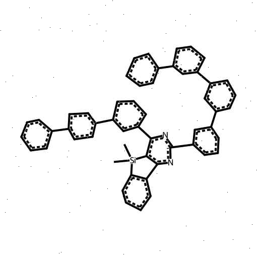 C[Si]1(C)c2ccccc2-c2nc(-c3cccc(-c4cccc(-c5cccc(-c6ccccc6)c5)c4)c3)nc(-c3cccc(-c4ccc(-c5ccccc5)cc4)c3)c21